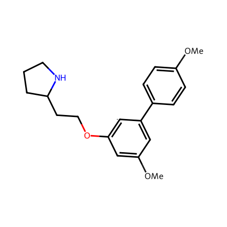 COc1ccc(-c2[c]c(OCCC3CCCN3)cc(OC)c2)cc1